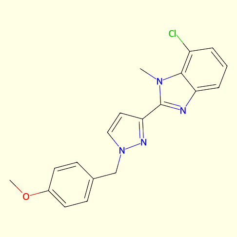 COc1ccc(Cn2ccc(-c3nc4cccc(Cl)c4n3C)n2)cc1